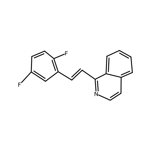 Fc1ccc(F)c(C=Cc2nccc3ccccc23)c1